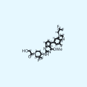 COc1nc(N[C@@H]2CCN(C(=O)CO)CC2(F)F)nn2ccc(-c3cc(F)c4ncn(CC(F)F)c4c3)c12